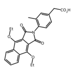 CCOc1c2c(c(OCC)c3ccccc13)C(=O)N(c1ccc(CC(=O)O)cc1C)C2=O